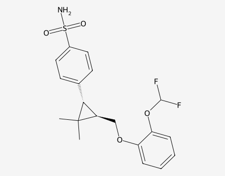 CC1(C)[C@H](COc2ccccc2OC(F)F)[C@H]1c1ccc(S(N)(=O)=O)cc1